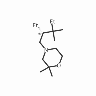 CC[C@@H](CN1CCOC(C)(C)C1)C(C)(C)CC